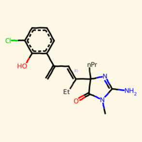 C=C(/C=C(\CC)C1(CCC)N=C(N)N(C)C1=O)c1cccc(Cl)c1O